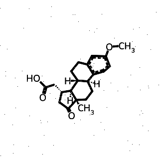 COc1ccc2c(c1)CC[C@H]1[C@@H]3[C@@H](CC(=O)O)CC(=O)[C@@]3(C)CC[C@H]21